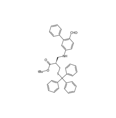 CC(C)(C)OC(=O)[C@@H](CNc1ccc([C]=O)c(-c2ccccc2)c1)CSC(c1ccccc1)(c1ccccc1)c1ccccc1